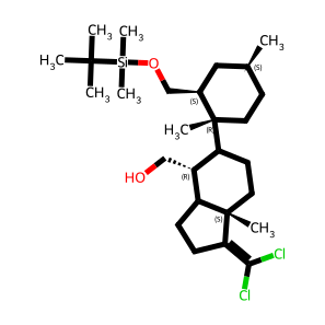 C[C@H]1CC[C@](C)(C2CC[C@]3(C)C(=C(Cl)Cl)CCC3[C@@H]2CO)[C@@H](CO[Si](C)(C)C(C)(C)C)C1